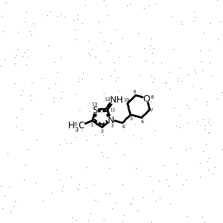 Cc1cn(CC2CCOCC2)c(=N)s1